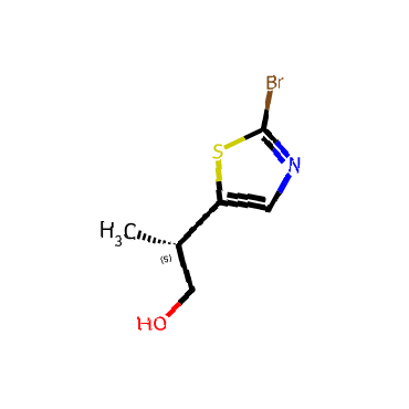 C[C@@H](CO)c1cnc(Br)s1